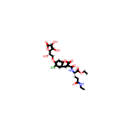 CCNC(=O)CC[C@H](NC(=O)c1cc2cc(Br)c(OC[C@H](O)[C@H]3OC(=O)C(O)=C3O)cc2oc1=O)C(=O)OCC